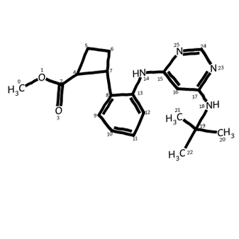 COC(=O)C1CCC1c1ccccc1Nc1cc(NC(C)(C)C)ncn1